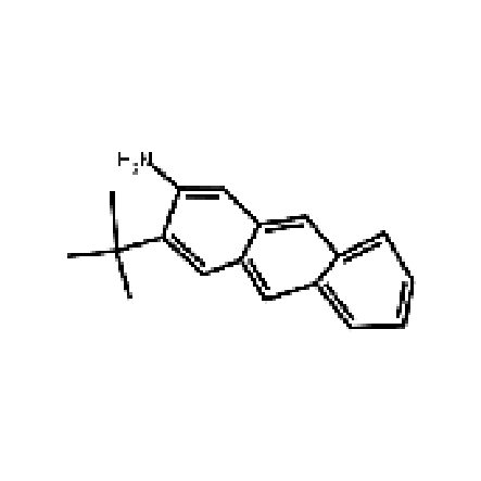 CC(C)(C)c1cc2cc3ccccc3cc2cc1N